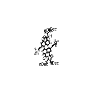 CCCCCCCCCCCC(CCCCCCCCCCC)NC(=O)c1ccc2c3c(C#C[Si](C)(C)C)cc4c5c(ccc(c6c(C#C[Si](C)(C)C)cc(C=O)c1c26)c53)C(=O)N(C(CCCCCCCCCCC)CCCCCCCCCCC)C4=O